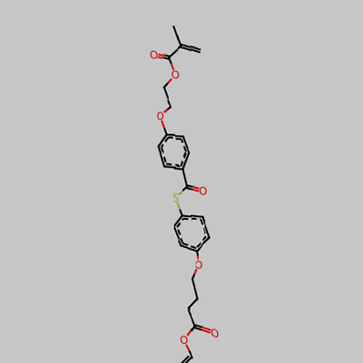 C=COC(=O)CCCOc1ccc(SC(=O)c2ccc(OCCOC(=O)C(=C)C)cc2)cc1